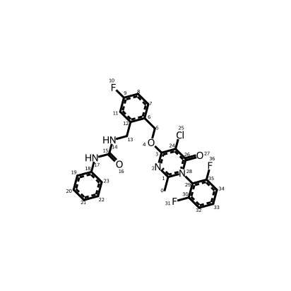 Cc1nc(OCc2ccc(F)cc2CNC(=O)Nc2ccccc2)c(Cl)c(=O)n1-c1c(F)cccc1F